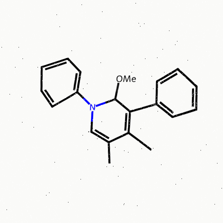 COC1C(c2ccccc2)=C(C)C(C)=[C]N1c1ccccc1